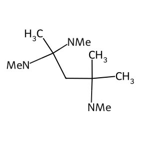 CNC(C)(C)CC(C)(NC)NC